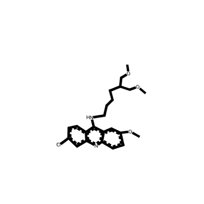 COCC(CCCCNc1c2ccc(Cl)cc2nc2ccc(OC)cc12)COC